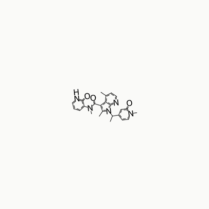 Cc1ccnc2c1c(C(=O)N(C)c1ccc[nH]c1=O)c(C)n2C(C)c1ccn(C)c(=O)c1